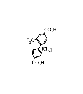 Cl.Cl.O=C(O)c1ccc(-c2ccc(C(=O)O)cc2C(F)(F)F)cc1